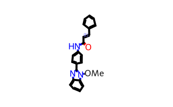 COn1c(-c2ccc(NC(=O)/C=C/c3ccccc3)cc2)nc2ccccc21